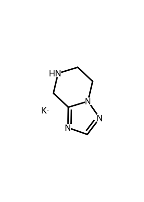 [K].c1nc2n(n1)CCNC2